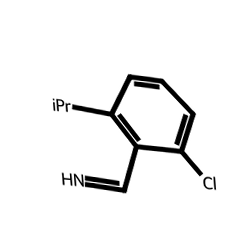 CC(C)c1cccc(Cl)c1C=N